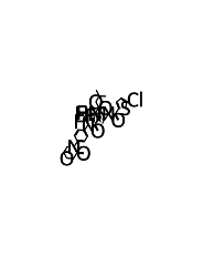 CC(C)OC(=O)N[C@H](CNC(=O)c1ccc(Cl)s1)C(=O)N(c1ccc(N2CCOCC2=O)cc1)C(F)(F)F